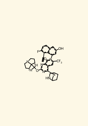 [2H]C([2H])(Oc1nc(N2CC3CCC2CN3)c2cc(C(F)(F)F)n(-c3cc(O)cc4ccc(F)c(C#C)c34)c(=O)c2n1)C12CCCN1CCC2